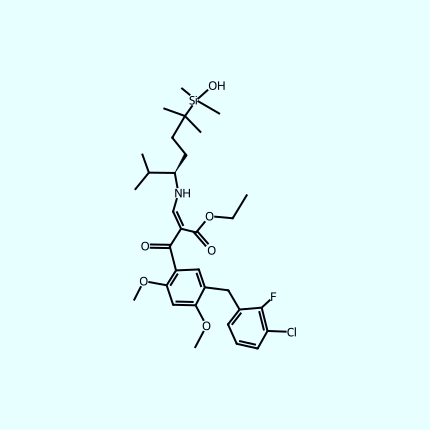 CCOC(=O)C(=CN[C@H](CCC(C)(C)[Si](C)(C)O)C(C)C)C(=O)c1cc(Cc2cccc(Cl)c2F)c(OC)cc1OC